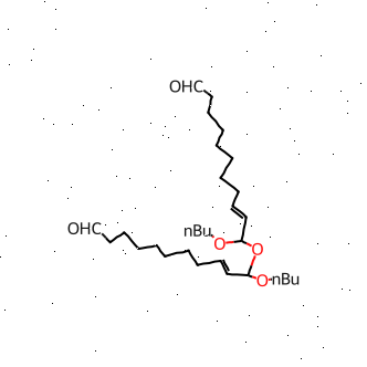 CCCCOC(C=CCCCCCCCC=O)OC(C=CCCCCCCCC=O)OCCCC